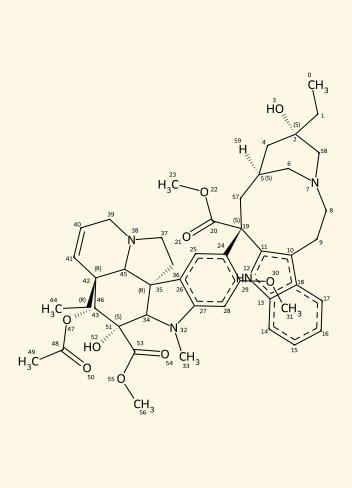 CC[C@]1(O)C[C@H]2CN(CCc3c([nH]c4ccccc34)[C@@](C(=O)OC)(c3cc4c(cc3OC)N(C)C3[C@]45CCN4CC=C[C@](CC)(C45)[C@@H](OC(C)=O)[C@]3(O)C(=O)OC)C2)C1